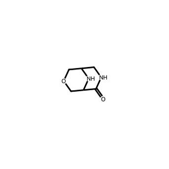 O=C1NCC2COCC1N2